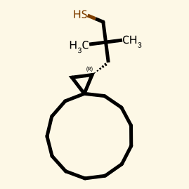 CC(C)(CS)C[C@H]1CC12CCCCCCCCCCCC2